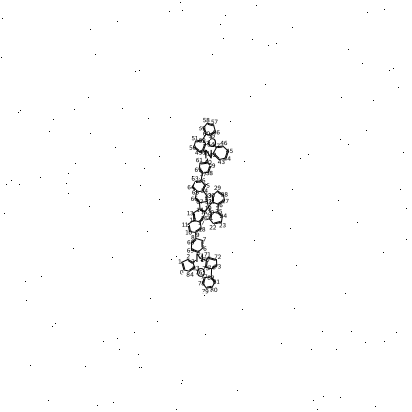 c1ccc(N(c2ccc(-c3ccc4cc5c(cc4c3)C3(c4ccccc4-c4ccccc43)c3cc4cc(-c6ccc(N(c7ccccc7)c7cccc8c7oc7ccccc78)cc6)ccc4cc3-5)cc2)c2cccc3c2oc2ccccc23)cc1